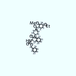 CCOc1ccc(C(=O)N2CCC(N3C(=O)C(NC(=O)OCc4ccccc4)Cc4ccccc43)CC2)c(OC)c1